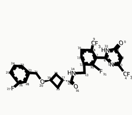 O=c1cc(C(F)(F)F)nc(-c2c(C(F)(F)F)ccc(CNC(=O)[C@H]3C[C@H](OCc4cccc(F)c4)C3)c2F)[nH]1